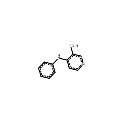 O=C(O)c1nnccc1Nc1ccccc1